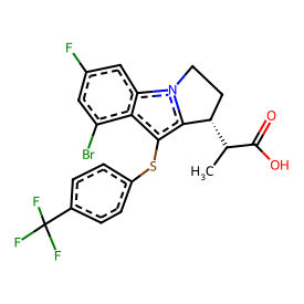 CC(C(=O)O)[C@H]1CCn2c1c(Sc1ccc(C(F)(F)F)cc1)c1c(Br)cc(F)cc12